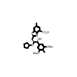 COc1cc([C@@H](O)[C@H](Cc2nc3c(C(=O)O)cc(C)cc3s2)OC2CCCC2)cc(OC)c1C